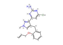 C=CCOc1ccccc1Cc1cn(C)nc1-c1cc(Cl)nc(N)n1